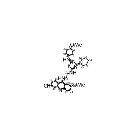 COc1ccc(Nc2nc(NCCNc3c4ccc(Cl)cc4nc4ccc(OC)cc34)nc(N3CCCCC3)n2)cc1